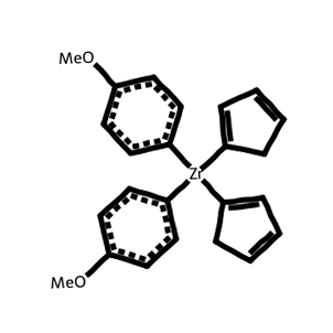 COc1cc[c]([Zr]([C]2=CC=CC2)([C]2=CC=CC2)[c]2ccc(OC)cc2)cc1